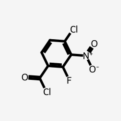 O=C(Cl)c1ccc(Cl)c([N+](=O)[O-])c1F